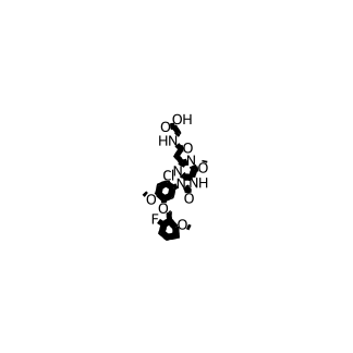 COc1cc(Cl)c(-n2c(=O)[nH]c3c(OC)nc(CC(=O)NCC(=O)O)nc32)cc1OCc1c(F)cccc1OC